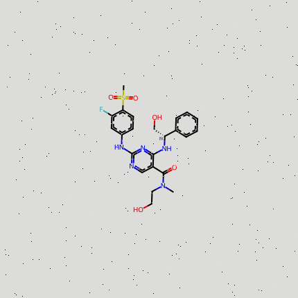 CN(CCO)C(=O)c1cnc(Nc2ccc(S(C)(=O)=O)c(F)c2)nc1N[C@H](CO)c1ccccc1